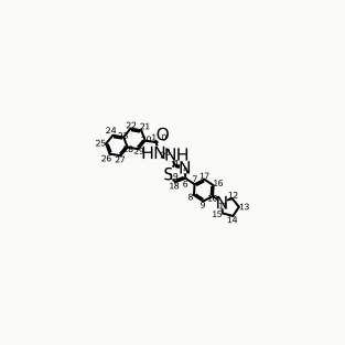 O=C(NNc1nc(-c2ccc(N3CCCC3)cc2)cs1)c1ccc2ccccc2c1